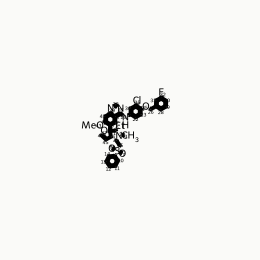 CCC(N(C)CCS(=O)(=O)c1ccccc1)C1(c2cc3c(Nc4ccc(OCc5cccc(F)c5)c(Cl)c4)ncnc3cc2OC)CC=CO1